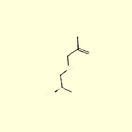 C=C(C)CNC[C@@H](C)C=O